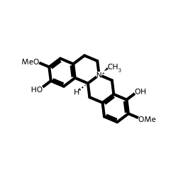 COc1cc2c(cc1O)[C@@H]1Cc3ccc(OC)c(O)c3C[N@+]1(C)CC2